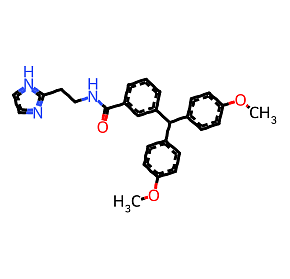 COc1ccc(C(c2ccc(OC)cc2)c2cccc(C(=O)NCCc3ncc[nH]3)c2)cc1